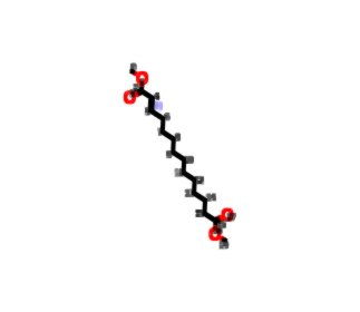 COC(=O)/C=C/CCCCCCCCCCC(=O)OC